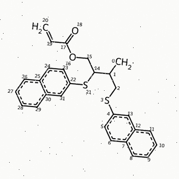 [CH2]C(CSc1ccc2ccccc2c1)C(COC(=O)C=C)Sc1ccc2ccccc2c1